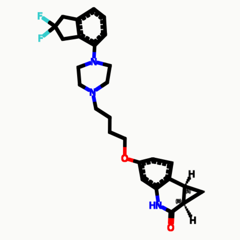 O=C1Nc2cc(OCCCCN3CCN(c4cccc5c4CC(F)(F)C5)CC3)ccc2[C@H]2C[C@@H]12